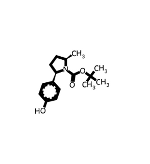 C[C@@H]1CC[C@H](c2ccc(O)cc2)N1C(=O)OC(C)(C)C